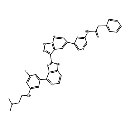 CN(C)CCNc1cc(F)cc(-c2nccc3[nH]c(-c4n[nH]c5ncc(-c6cncc(NC(=O)Cc7ccccc7)c6)cc45)nc23)c1